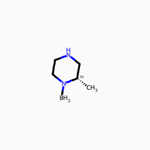 BN1CCNC[C@@H]1C